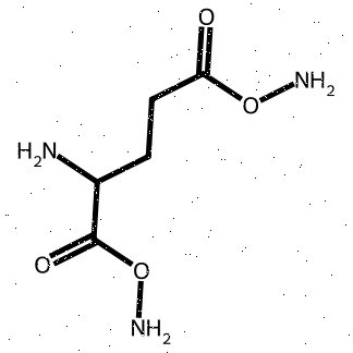 NOC(=O)CCC(N)C(=O)ON